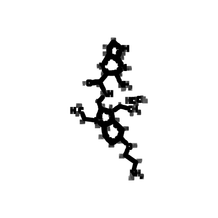 CCn1c(CNC(=O)c2nc3cc[nH]c3nc2N)[n+](CC)c2ccc(OCCN)cc21.Cl.[Cl-]